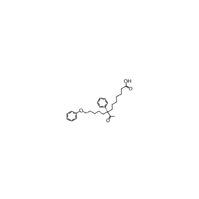 CC(=O)C(CCCCCCC(=O)O)(CCCCCOc1ccccc1)c1ccccc1